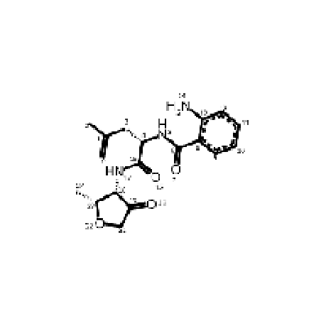 C=C(C)C[C@H](NC(=O)c1ccccc1N)C(=O)N[C@@H]1C(=O)CO[C@@H]1C